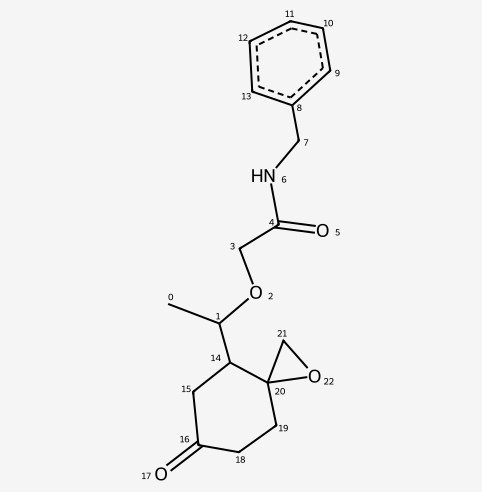 CC(OCC(=O)NCc1ccccc1)C1CC(=O)CCC12CO2